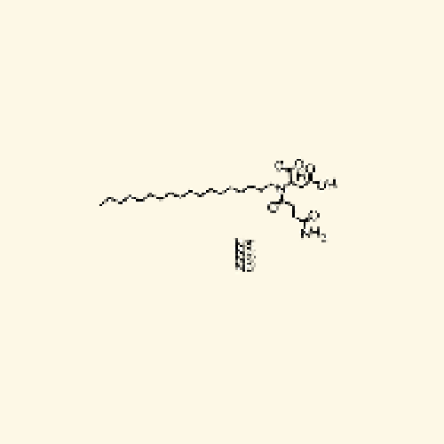 CCCCCCCCCCCCCCCCCCN(C(=O)CCC(N)=O)C(CC(=O)O)C(=O)O.[Na].[Na].[Na].[Na]